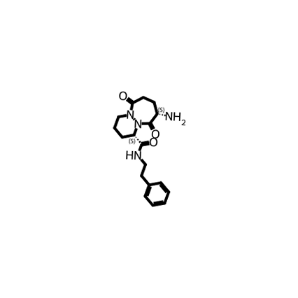 N[C@H]1CCC(=O)N2CCC[C@@H](C(=O)NCCc3ccccc3)N2C1=O